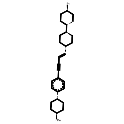 CCCC[C@H]1CC[C@H](c2ccc(C#CC=C[C@H]3CC[C@H]([C@H]4CC[C@H](CC)CC4)CC3)cc2)CC1